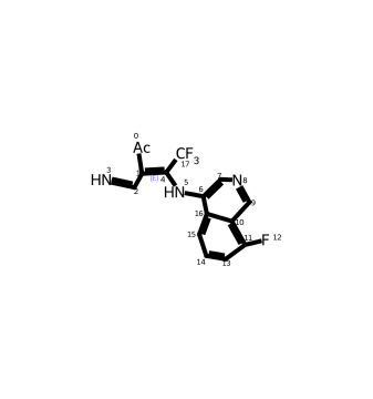 CC(=O)/C(C=N)=C(/Nc1cncc2c(F)cccc12)C(F)(F)F